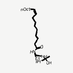 CCCCCCCC/C=C\CCCCCCCC(=O)NC(CC)NC(C)(O)C(C)C